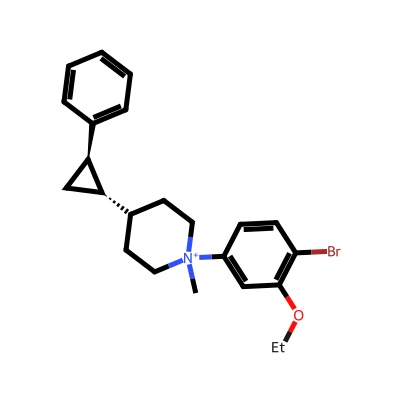 CCOc1cc([N+]2(C)CCC([C@@H]3C[C@H]3c3ccccc3)CC2)ccc1Br